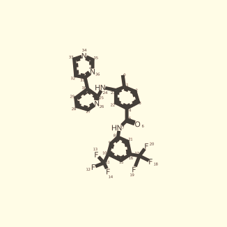 Cc1ccc(C(=O)Nc2cc(C(F)(F)F)cc(C(F)(F)F)c2)cc1Nc1ncccc1-c1ccncn1